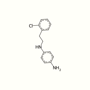 Nc1ccc(NCCc2ccccc2Cl)cc1